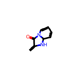 C=C1NC2C=CC=CN2C1=O